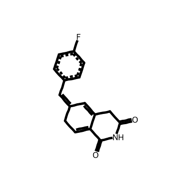 O=C1CC2=CC(=Cc3ccc(F)cc3)CC=C2C(=O)N1